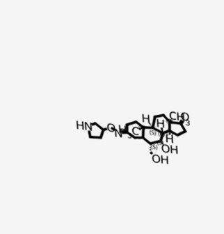 C[C@]12CCC(=NOC3CCNC3)CC1[C@@H](CO)[C@@H](O)[C@@H]1[C@@H]2CC[C@]2(C)C(=O)CC[C@@H]12